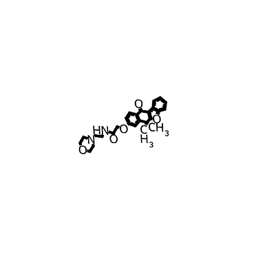 CC1(C)c2cc(OCC(=O)NCCN3CCOCC3)ccc2C(=O)c2c1oc1ccccc21